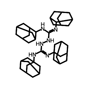 C1C2CC3CC1CC(C2)C3N=C(NNC(=NC12CC3CC(CC(C3)C1)C2)NC12CC3CC(CC(C3)C1)C2)NC1C2CC3CC(C2)CC1C3